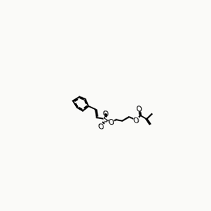 C=C(C)C(=O)OCCCOS(=O)(=O)C=Cc1ccccc1